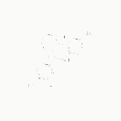 CC(C)(C)c1ccc2c(c1)[C@@H]1OCCC[C@@H]1C(c1ccc(O)c(F)c1)N2